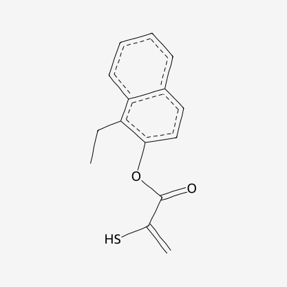 C=C(S)C(=O)Oc1ccc2ccccc2c1CC